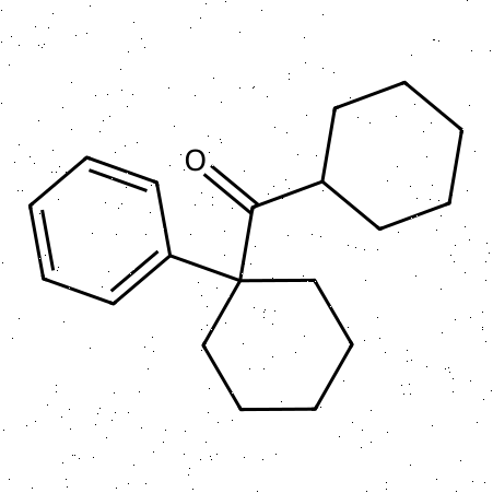 O=C(C1CCCCC1)C1(c2ccccc2)CCCCC1